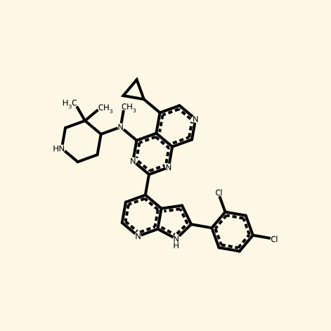 CN(c1nc(-c2ccnc3[nH]c(-c4ccc(Cl)cc4Cl)cc23)nc2cncc(C3CC3)c12)C1CCNCC1(C)C